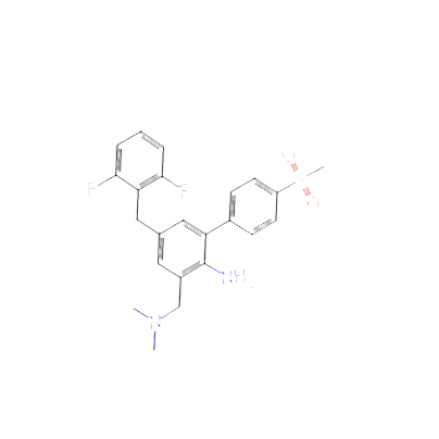 CN(C)Cc1[c]c(Cc2c(F)cccc2F)cc(-c2ccc(S(C)(=O)=O)cc2)c1N